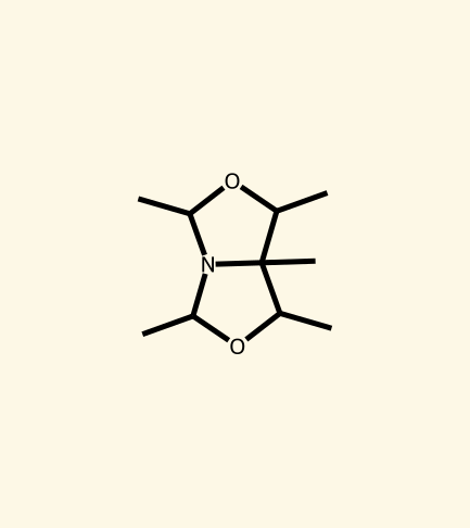 CC1OC(C)C2(C)C(C)OC(C)N12